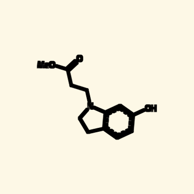 COC(=O)CCN1CCc2ccc(O)cc21